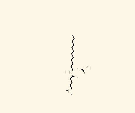 CC(=O)O.CCCCCCCCCCCCNC(=O)CCCCN(C)C